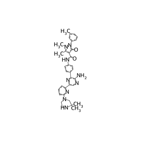 Cc1cccc(-n2c(=O)c(C(=O)Nc3ccc(-c4nc(-c5cccc(N6CCNC(C)(C)C6)n5)cnc4N)cc3)c(C)n2C)c1